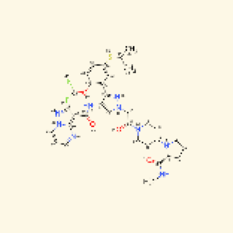 CNC(=O)[C@@H]1CCCN1C1CCN(C(=O)Cn2cc(NC(=O)c3cnn4cccnc34)c(-c3cc(SC(C)C)ccc3OC(F)F)n2)CC1